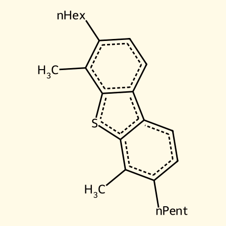 CCCCCCc1ccc2c(sc3c(C)c(CCCCC)ccc32)c1C